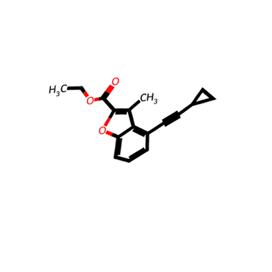 CCOC(=O)c1oc2cccc(C#CC3CC3)c2c1C